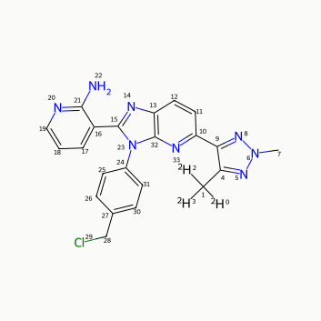 [2H]C([2H])([2H])c1nn(C)nc1-c1ccc2nc(-c3cccnc3N)n(-c3ccc(CCl)cc3)c2n1